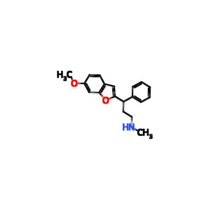 CNCCC(c1ccccc1)c1cc2ccc(OC)cc2o1